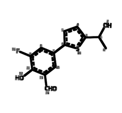 CC(O)c1ccc(-c2cc(F)c(O)c(C=O)c2)s1